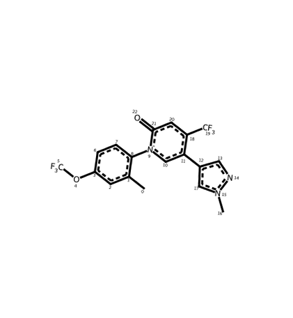 Cc1cc(OC(F)(F)F)ccc1-n1cc(-c2cnn(C)c2)c(C(F)(F)F)cc1=O